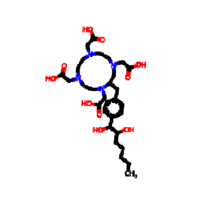 CCCCCC(O)C(O)c1ccc(CC2CN(CC(=O)O)CCN(CC(=O)O)CCN(CC(=O)O)CCN2CC(=O)O)cc1